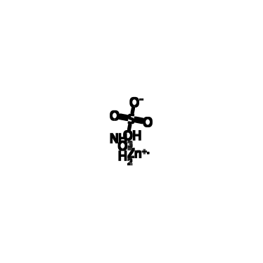 N.O.O=S(=O)([O-])O.[Zn+]